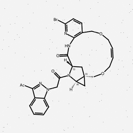 CC(=O)c1nn(CC(=O)N2[C@H]3C[C@@]4(COCC=CCOCc5ccc(Br)nc5NC3=O)C[C@@H]24)c2ccccc12